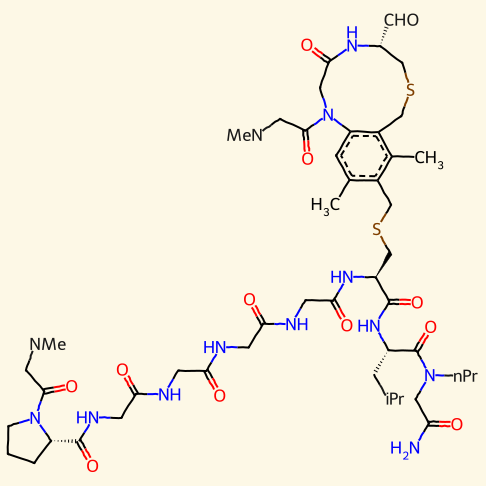 CCCN(CC(N)=O)C(=O)[C@H](CC(C)C)NC(=O)[C@H](CSCc1c(C)cc2c(c1C)CSC[C@@H](C=O)NC(=O)CN2C(=O)CNC)NC(=O)CNC(=O)CNC(=O)CNC(=O)CNC(=O)[C@@H]1CCCN1C(=O)CNC